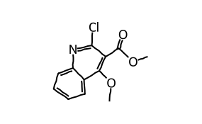 COC(=O)c1c(Cl)nc2ccccc2c1OC